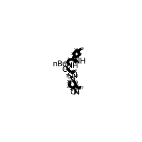 CCCCC(Cc1c[nH]c2cc(C)ccc12)NC(=O)c1cnc(N2CCc3onc(C)c3C2)s1